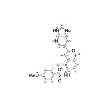 COc1ccc(S(=O)(=O)Nc2ccc(F)c(NC(=O)c3cnc4[nH]cnc4c3)c2F)cc1